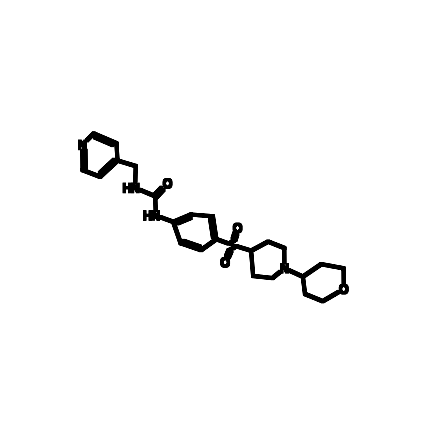 O=C(NCc1ccncc1)Nc1ccc(S(=O)(=O)C2CCN(C3CCOCC3)CC2)cc1